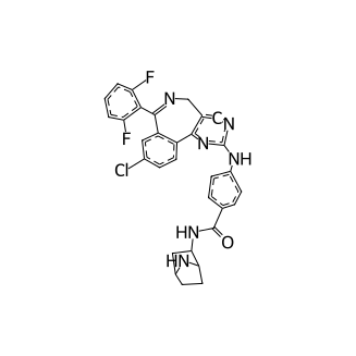 O=C(NC1CC2CCC1N2)c1ccc(Nc2ncc3c(n2)-c2ccc(Cl)cc2C(c2c(F)cccc2F)=NC3)cc1